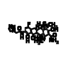 CC=C1C(C(N)=O)=C(O)[C@@H](N(C)C)[C@@H]2C[C@@H]3Cc4c(F)cc(NC(=O)Cn5ccnn5)c(O)c4C(=O)C3=C(O)[C@]12P